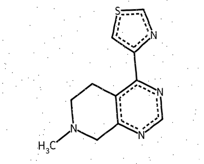 CN1CCc2c(ncnc2-c2cscn2)C1